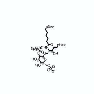 CCCCCC/C=C/[C@@H](O)[C@H](CO[C@@H]1O[C@H](COS(=O)(=O)[O-])[C@H](O)[C@H](O)[C@H]1OS(=O)(=O)[O-])NC(=O)CCCCCCCCCCCCCCC.[Na+].[Na+]